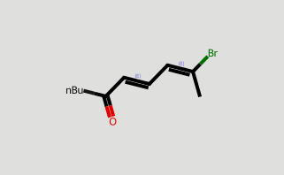 CCCCC(=O)/C=C/C=C(\C)Br